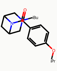 CCC(C)N1CC2CC(C1)N2C(=O)c1ccc(OC(C)C)cc1